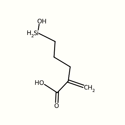 C=C(CCC[SiH2]O)C(=O)O